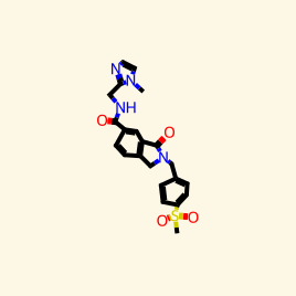 Cn1ccnc1CNC(=O)c1ccc2c(c1)C(=O)N(Cc1ccc(S(C)(=O)=O)cc1)C2